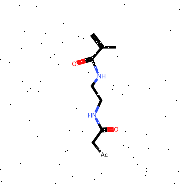 C=C(C)C(=O)NCCNC(=O)CC(C)=O